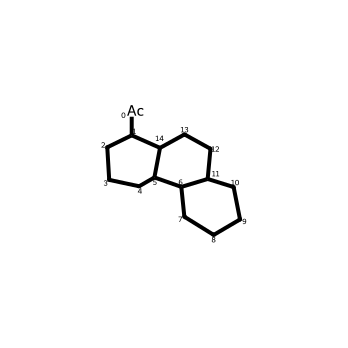 CC(=O)C1CCCC2C3CCCCC3CCC12